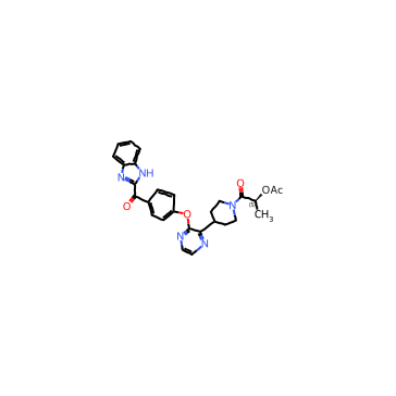 CC(=O)O[C@@H](C)C(=O)N1CCC(c2nccnc2Oc2ccc(C(=O)c3nc4ccccc4[nH]3)cc2)CC1